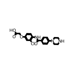 O=C(O)COc1ccc(NC(=O)c2ccc(N3CCNCC3)cc2)c(Cl)c1